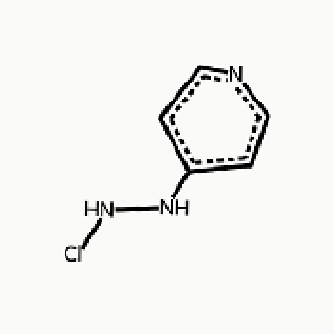 ClNNc1ccncc1